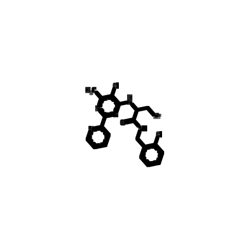 Cc1nc(-c2ccccn2)nc(NC(CC(C)C)C(=O)NCc2ccccc2Cl)c1Cl